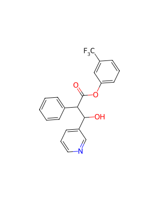 O=C(Oc1cccc(C(F)(F)F)c1)C(c1ccccc1)C(O)c1cccnc1